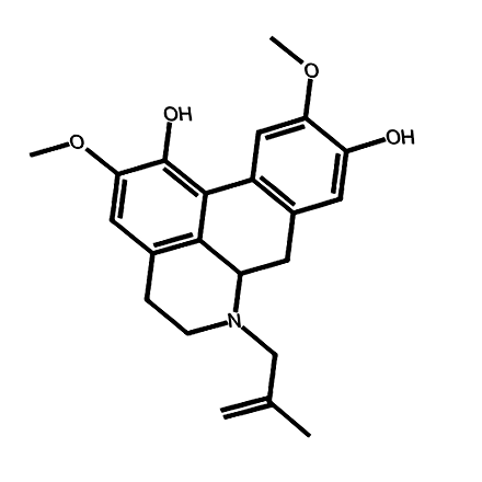 C=C(C)CN1CCc2cc(OC)c(O)c3c2C1Cc1cc(O)c(OC)cc1-3